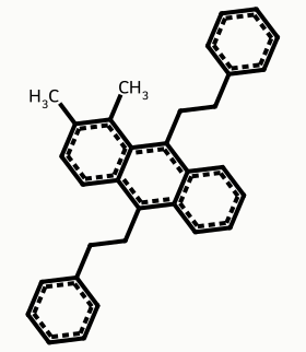 Cc1ccc2c(CCc3ccccc3)c3ccccc3c(CCc3ccccc3)c2c1C